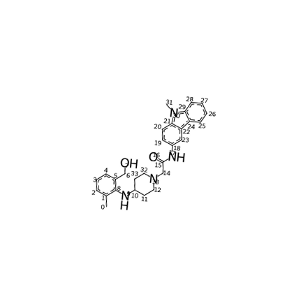 Cc1cccc(CO)c1NC1CCN(CC(=O)Nc2ccc3c(c2)c2ccccc2n3C)CC1